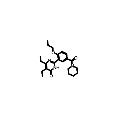 CCCOc1ccc(C(=O)N2CCCCC2)cc1-c1nc(CC)c(CC)c(=O)[nH]1